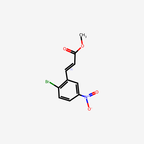 COC(=O)/C=C/c1cc([N+](=O)[O-])ccc1Br